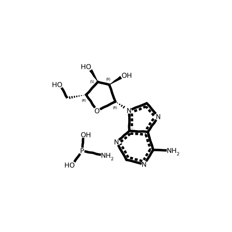 NP(O)O.Nc1ncnc2c1ncn2[C@@H]1O[C@H](CO)[C@@H](O)[C@H]1O